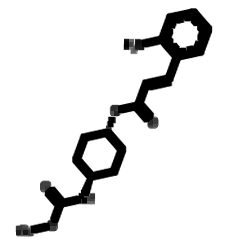 CC(C)(C)OC(=O)N[C@H]1CC[C@H](OC(=O)/C=C/c2ccccc2N)CC1